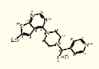 CCc1cc2c(N3CCN(C(C=O)c4ccncc4)CC3)ncnc2s1